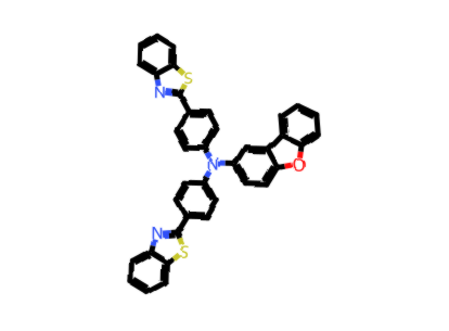 c1ccc2sc(-c3ccc(N(c4ccc(-c5nc6ccccc6s5)cc4)c4ccc5oc6ccccc6c5c4)cc3)nc2c1